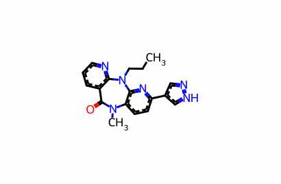 CCCN1c2ncccc2C(=O)N(C)c2ccc(-c3cn[nH]c3)nc21